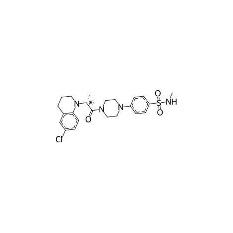 CNS(=O)(=O)c1ccc(N2CCN(C(=O)[C@@H](C)N3CCCc4cc(Cl)ccc43)CC2)cc1